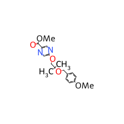 COC(=O)c1cnc(OCC(C)(C)OCc2ccc(OC)cc2)cn1